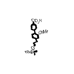 COc1cc(CCCO[Si](C)(C)C(C)(C)C)ccc1-c1ccc(C(=O)O)cc1